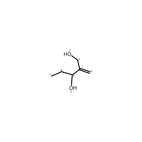 C=C(CO)C(O)CC